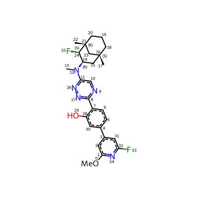 COc1cc(-c2ccc(-c3ncc(N(C)[C@@H]4C[C@@]5(C)CCC[C@](C)(C5)[C@@H]4F)nn3)c(O)c2)cc(F)n1